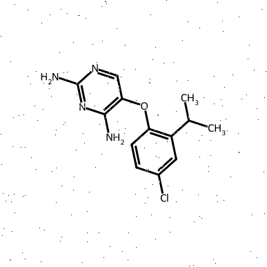 CC(C)c1cc(Cl)ccc1Oc1cnc(N)nc1N